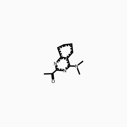 CC(=O)c1nc(N(C)C)c2ccccc2n1